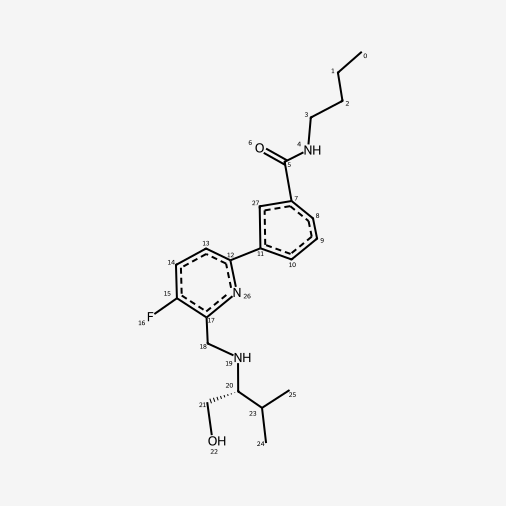 CCCCNC(=O)c1cccc(-c2ccc(F)c(CN[C@@H](CO)C(C)C)n2)c1